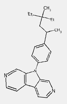 CCC(C)(CC)CC(C)c1ccc(-n2c3cnccc3c3ccncc32)cc1